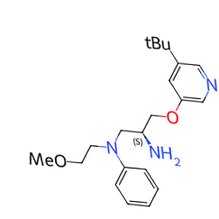 COCCN(C[C@H](N)COc1cncc(C(C)(C)C)c1)c1ccccc1